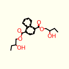 CCC(O)COC(=O)c1ccc(C(=O)OCC(O)CC)c2ccccc12